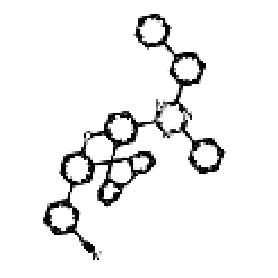 N#Cc1cccc(-c2ccc3c(c2)C2(c4cc(-c5nc(-c6ccccc6)nc(-c6cccc(-c7ccccc7)c6)n5)ccc4O3)c3ccccc3-c3ccccc32)c1